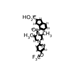 CC1CN(c2ccc(OC(F)(F)F)cn2)CC(C)N1[S+]([O-])c1cccc2c1CC(C(=O)O)C2